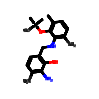 Cc1ccc([N+](=O)[O-])c(NCc2ccc([N+](=O)[O-])c(N)c2O)c1O[Si](C)(C)C(C)(C)C